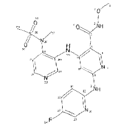 CONC(=O)c1cnc(Nc2ccc(F)cn2)cc1Nc1cnccc1N(C)S(C)(=O)=O